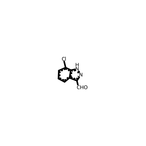 O=Cc1n[nH]c2c(Cl)cccc12